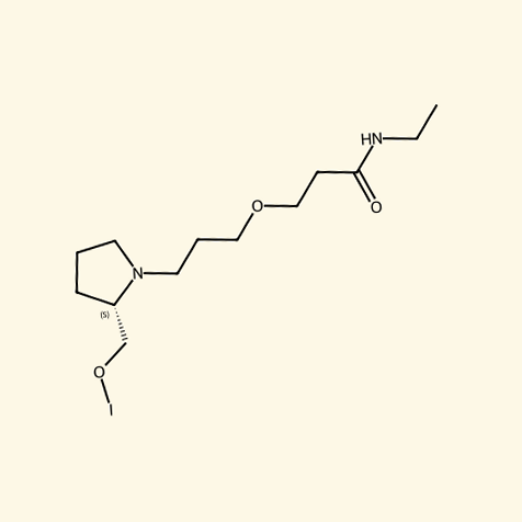 CCNC(=O)CCOCCCN1CCC[C@H]1COI